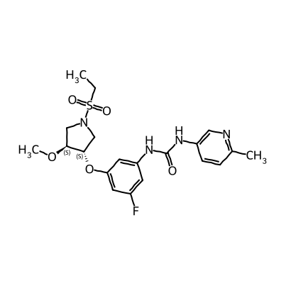 CCS(=O)(=O)N1C[C@H](OC)[C@@H](Oc2cc(F)cc(NC(=O)Nc3ccc(C)nc3)c2)C1